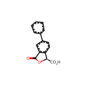 O=C1O[C@H](C(=O)O)c2ccc(-c3ccccc3)cc21